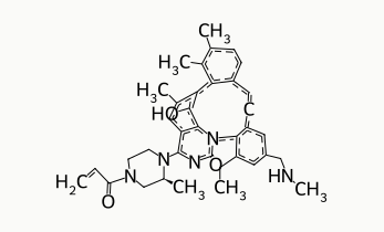 C=CC(=O)N1CCN(c2nc(=O)n3c4c(CC)cc(CNC)cc4ccc4ccc(C)c(C)c4c4c(C)cc2c3c4O)[C@@H](C)C1